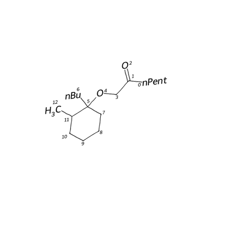 CCCCCC(=O)COC1(CCCC)CCCCC1C